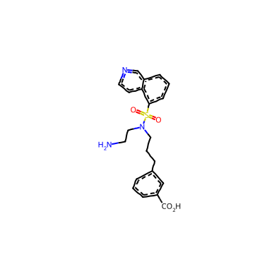 NCCN(CCCc1cccc(C(=O)O)c1)S(=O)(=O)c1cccc2cnccc12